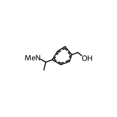 CNC(C)c1ccc(CO)cc1